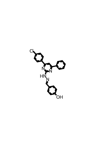 Oc1ccc(C=NNc2nc(-c3ccccc3)cc(-c3ccc(Cl)cc3)n2)cc1